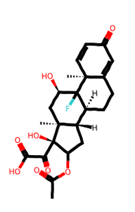 CC(=O)OC1C[C@H]2[C@@H]3CCC4=CC(=O)C=C[C@]4(C)C3(F)[C@H](O)C[C@]2(C)[C@@]1(O)C(=O)C(=O)O